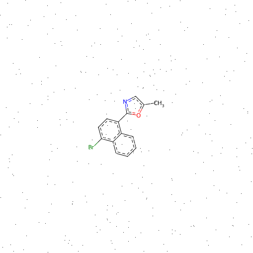 Cc1cnc(-c2ccc(Br)c3ccccc23)o1